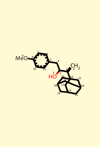 C=C(C(O)Cc1ccc(OC)cc1)C12CC3CC(CC(C3)C1)C2